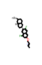 C/C=C/COc1cc(F)c2cc([C@@H]3CC[C@@H]4CC(CCCC)CCC4C3)c(F)cc2c1